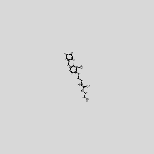 O=C(NCCOc1ccc(Cc2ccccc2)cc1Cl)OCCBr